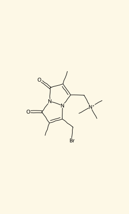 Cc1c(CBr)n2c(C[N+](C)(C)C)c(C)c(=O)n2c1=O